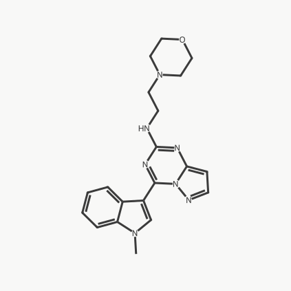 Cn1cc(-c2nc(NCCN3CCOCC3)nc3ccnn23)c2ccccc21